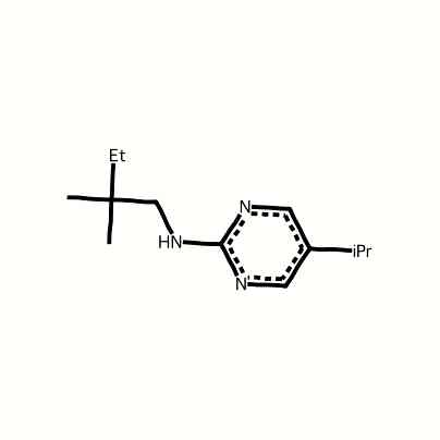 CCC(C)(C)CNc1ncc(C(C)C)cn1